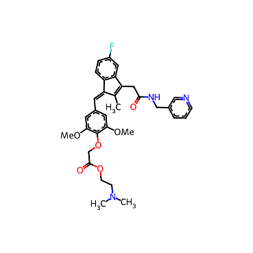 COc1cc(C=C2C(C)=C(CC(=O)NCc3cccnc3)c3cc(F)ccc32)cc(OC)c1OCC(=O)OCCN(C)C